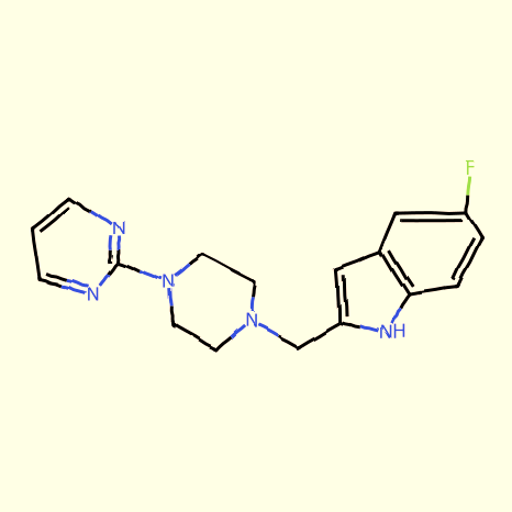 Fc1ccc2[nH]c(CN3CCN(c4ncccn4)CC3)cc2c1